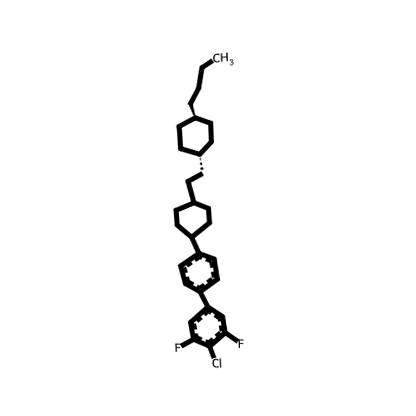 CCCC[C@H]1CC[C@H](CCC2CCC(c3ccc(-c4cc(F)c(Cl)c(F)c4)cc3)CC2)CC1